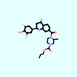 CCCOC(=O)N1CCN(C(=O)c2ccc3c(Cl)cc(-c4cc(F)c(O)c(F)c4)nc3c2)C(C)C1